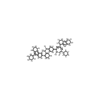 CC1=C(c2ccccc2)N=C(c2cccc3c2oc2ccccc23)N=C(c2ccc(C(C)C3Cc4c(ccc5c4c4ccccc4n5-c4ccccc4)-c4ccccc43)cc2)C1C